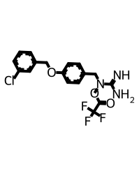 N=C(N)N(Cc1ccc(OCc2cccc(Cl)c2)cc1)OC(=O)C(F)(F)F